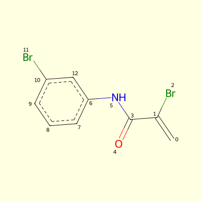 C=C(Br)C(=O)Nc1cccc(Br)c1